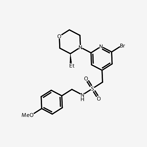 CC[C@H]1COCCN1c1cc(CS(=O)(=O)NCc2ccc(OC)cc2)cc(Br)n1